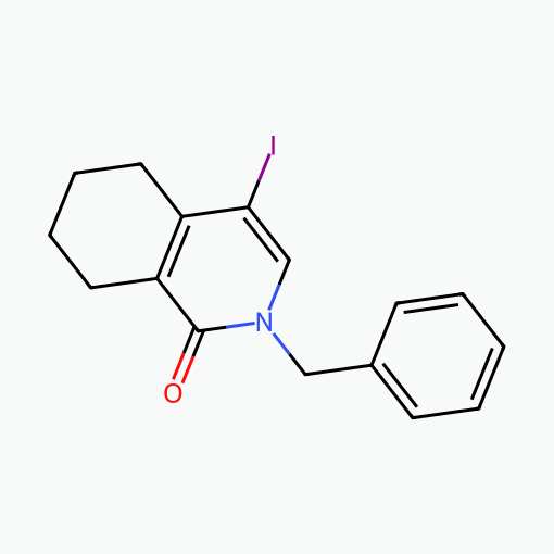 O=c1c2c(c(I)cn1Cc1ccccc1)CCCC2